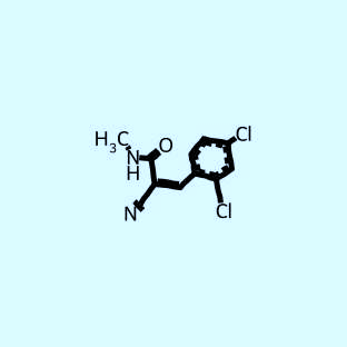 CNC(=O)C(C#N)=Cc1ccc(Cl)cc1Cl